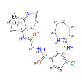 CCc1ncccc1C(CC(=O)O)NC(=O)CNC(=O)c1ccc(Cl)c(NC2=NCCCCC2)c1